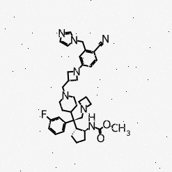 COC(=O)N[C@H]1CCC[C@@H]1[C@](CN1CCC1)(c1cccc(F)c1)C1CCN(CC2CN(c3ccc(C#N)c(Cn4ccnc4)c3)C2)CC1